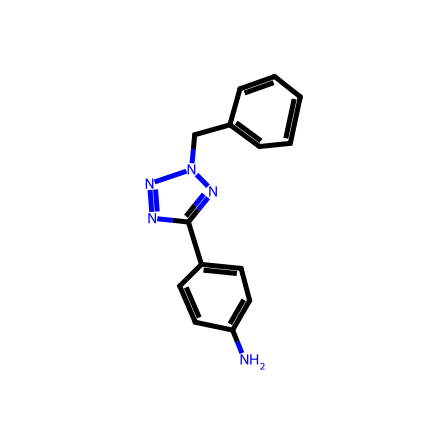 Nc1ccc(-c2nnn(Cc3ccccc3)n2)cc1